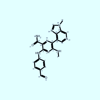 CNc1nc(Nc2ccc(C=O)cc2)c(C(N)=O)nc1-c1cncc2c1ncn2C